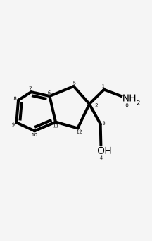 NCC1(CO)Cc2ccccc2C1